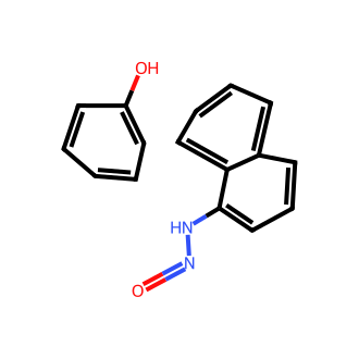 O=NNc1cccc2ccccc12.Oc1ccccc1